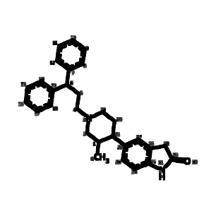 CC1CN(CCC(c2ccccc2)c2ccccc2)CCC1c1ccc2c(c1)CC(=O)N2